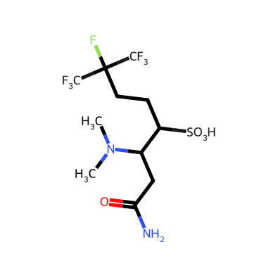 CN(C)C(CC(N)=O)C(CCC(F)(C(F)(F)F)C(F)(F)F)S(=O)(=O)O